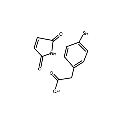 O=C(O)Cc1ccc(S)cc1.O=C1C=CC(=O)N1